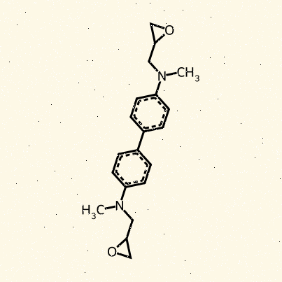 CN(CC1CO1)c1ccc(-c2ccc(N(C)CC3CO3)cc2)cc1